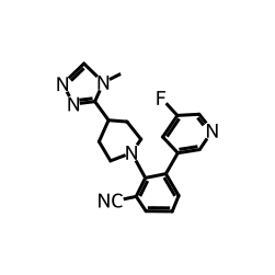 Cn1cnnc1C1CCN(c2c(C#N)cccc2-c2cncc(F)c2)CC1